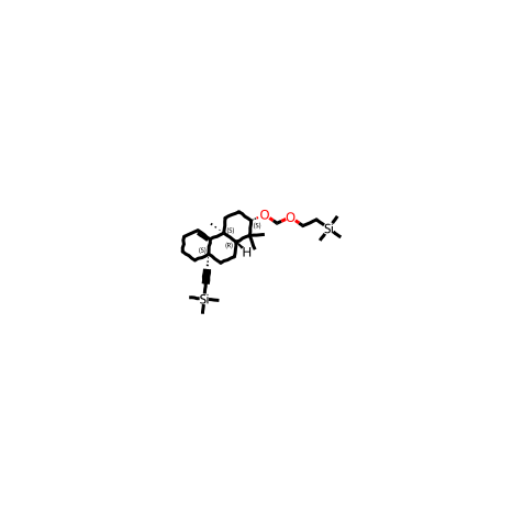 CC1(C)[C@@H](OCOCC[Si](C)(C)C)CC[C@]2(C)C3=CCCC[C@]3(C#C[Si](C)(C)C)CC[C@@H]12